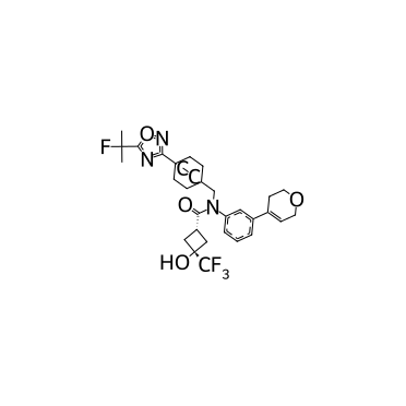 CC(C)(F)c1nc(C23CCC(CN(c4cccc(C5=CCOCC5)c4)C(=O)[C@H]4C[C@](O)(C(F)(F)F)C4)(CC2)CC3)no1